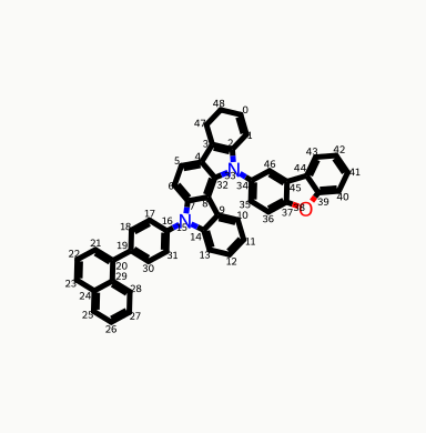 C1=Cc2c(c3ccc4c(c5ccccc5n4-c4ccc(-c5cccc6ccccc56)cc4)c3n2-c2ccc3oc4ccccc4c3c2)CC1